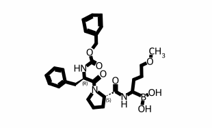 COCCCC(NC(=O)[C@@H]1CCCN1C(=O)[C@@H](Cc1ccccc1)NC(=O)OCc1ccccc1)B(O)O